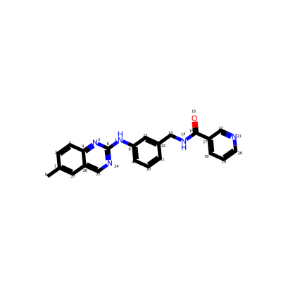 Cc1ccc2nc(Nc3cccc(CNC(=O)c4cccnc4)c3)ncc2c1